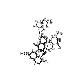 C#Cc1c(F)ccc2cc(O)cc(-c3nc4c5c(nc(OC[C@@]67CCCN6C[C@H](F)C7)nc5c3F)N3C[C@@H](CC)N[C@@H](C)C3CC4)c12